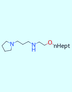 CCCCCCCOCCNCCCN1CCCC1